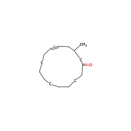 CC1C/C=C\CCCCCCCCCC(=O)C1